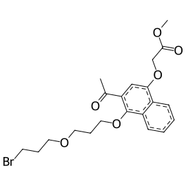 COC(=O)COc1cc(C(C)=O)c(OCCCOCCCBr)c2ccccc12